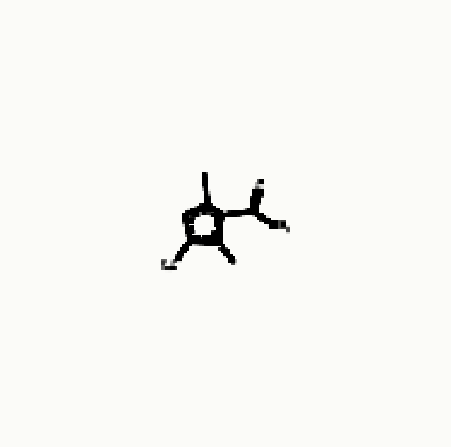 Cc1cc(C(F)(F)F)n(C)c1C(N)=O